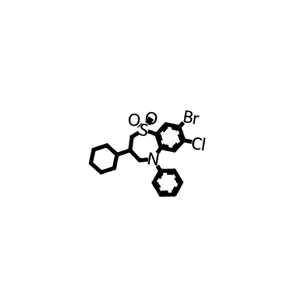 O=S1(=O)CC(C2CCCCC2)CN(c2ccccc2)c2cc(Cl)c(Br)cc21